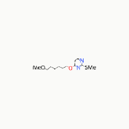 COCCCCCCOc1ccnc(SC)n1